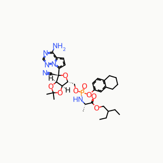 CCC(CC)COC(=O)[C@H](C)NP(=O)(OC[C@H]1O[C@@](C#N)(c2ccc3c(N)ncnn23)[C@@H]2OC(C)(C)O[C@@H]21)Oc1ccc2c(c1)CCCC2